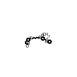 COc1cc(-c2nc3ccccc3s2)ccc1OCCCCCOc1ccc2ccc(=O)oc2c1